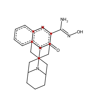 N/C(=N\O)c1nc2ccccc2n(C2CC3CCCC(C2)N3C2CC3CCCC(C3)C2)c1=O